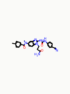 Cc1ccc(C(=O)N(C)c2ccc3c(c2)nc(NC(=O)Nc2ccc(C#N)cc2)n3CCC(N)=O)cc1